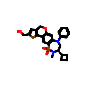 CN1[C@H](C2CCC2)CN(c2ccccc2)c2cc3c(cc2S1(=O)=O)-c1sc(CO)cc1CO3